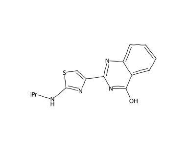 CC(C)Nc1nc(-c2nc(O)c3ccccc3n2)cs1